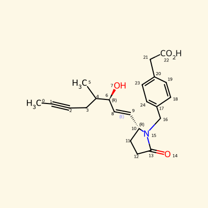 CC#CCC(C)[C@@H](O)/C=C/[C@H]1CCC(=O)N1Cc1ccc(CC(=O)O)cc1